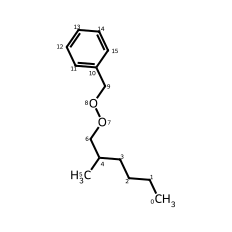 CCCCC(C)COOCc1ccccc1